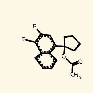 CC(=O)OC1(c2cc(F)c(F)c3ccccc23)CCCC1